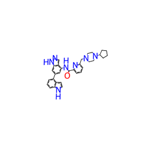 O=C(Nc1cc(-c2cccc3[nH]ccc23)cc2[nH]ncc12)c1cccc(CN2CCN(C3CCCC3)CC2)n1